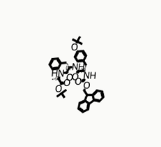 C[C@H](NC(=O)[C@H](Cc1ccccc1)NC(=O)[C@H](Cc1ccc(OC(C)(C)C)cc1)NC(=O)OCC1c2ccccc2-c2ccccc21)C(=O)OC(C)(C)C